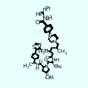 CCCNNC(=O)c1ccc(N2CCN(CC(C)CC(C)CC(=O)N[C@H](C(=O)N3C[C@H](O)CC3C(=O)N[C@@H](C)c3ccc(-c4scnc4C)cc3)C(C)(C)C)CC2)cc1